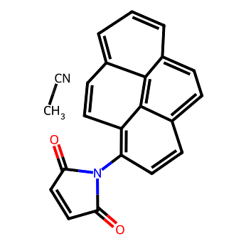 CC#N.O=C1C=CC(=O)N1c1ccc2ccc3cccc4ccc1c2c34